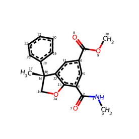 CNC(=O)c1cc(C(=O)OC)cc2c1OC[C@]2(C)c1ccccc1